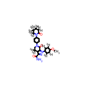 [2H]c1c([2H])c(-n2nc(C(N)=O)c3c2C(=O)N(c2ccc(N4C(=O)C([2H])([2H])C([2H])([2H])C([2H])([2H])C4([2H])[2H])cc2)CC3([2H])[2H])c([2H])c([2H])c1OC